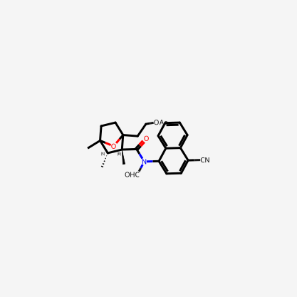 CC(=O)OCCC12CCC(C)(O1)[C@@H](C)[C@@]2(C)C(=O)N(C=O)c1ccc(C#N)c2ccccc12